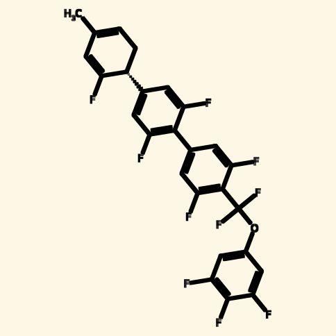 CC1=CC[C@H](c2cc(F)c(-c3cc(F)c(C(F)(F)Oc4cc(F)c(F)c(F)c4)c(F)c3)c(F)c2)C(F)=C1